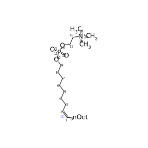 CCCCCCCC/C=C\CCCCCCCOP(=O)([O-])OCC[N+](C)(C)C